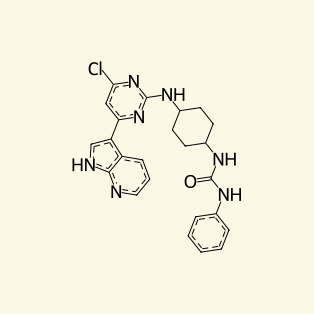 O=C(Nc1ccccc1)NC1CCC(Nc2nc(Cl)cc(-c3c[nH]c4ncccc34)n2)CC1